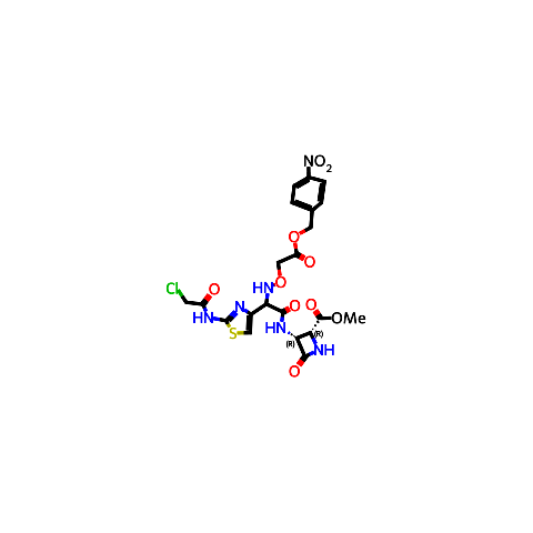 COC(=O)[C@@H]1NC(=O)[C@@H]1NC(=O)C(NOCC(=O)OCc1ccc([N+](=O)[O-])cc1)c1csc(NC(=O)CCl)n1